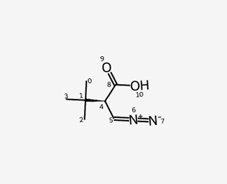 CC(C)(C)[C@H](C=[N+]=[N-])C(=O)O